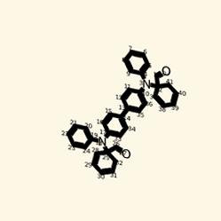 O=CC1(N(c2ccccc2)c2ccc(-c3ccc(N(c4ccccc4)C4(C=O)C=CC=CC4)cc3)cc2)C=CC=CC1